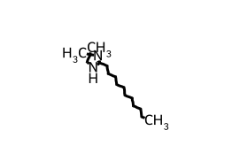 CCCCCCCCCCCC1=NC(C)(C)CN1